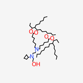 CCCCCCCCC(CCCCCC)C(CC)OC(=O)CCCCCN(CCCCCC(=O)OC(CC)C(CCCCCC)CCCCCCCC)CCN(CCO)C1CCC1